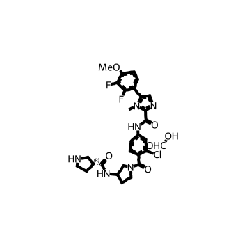 COc1ccc(-c2cnc(C(=O)Nc3ccc(C(=O)N4CCC(NC(=O)[C@@H]5CCNC5)C4)c(Cl)c3)n2C)c(F)c1F.O=CO